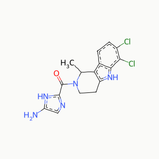 CC1c2c([nH]c3c(Cl)c(Cl)ccc23)CCN1C(=O)c1ncc(N)[nH]1